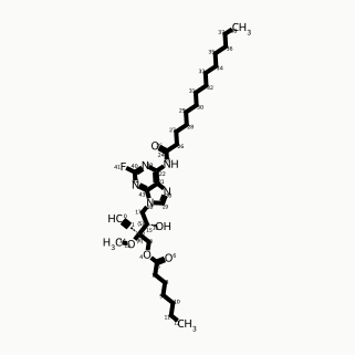 C#C[C@](COC(=O)CCCCCC)(OC)[C@@H](O)Cn1cnc2c(NC(=O)CCCCCCCCCCCCC)nc(F)nc21